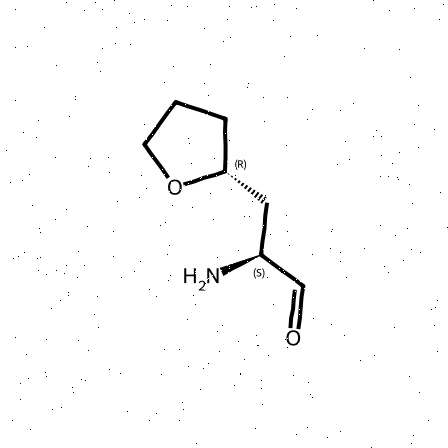 N[C@H](C=O)C[C@H]1CCCO1